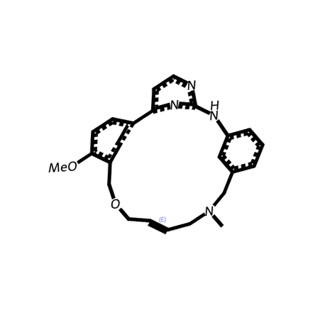 COc1ccc2cc1COC/C=C/CN(C)Cc1cccc(c1)Nc1nccc-2n1